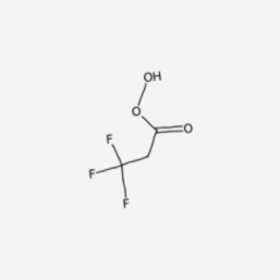 O=C(CC(F)(F)F)OO